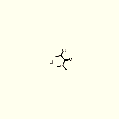 CCC(C)C(=O)N(C)C.Cl